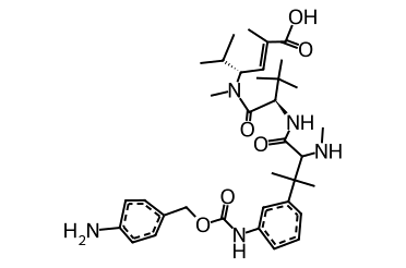 CNC(C(=O)N[C@@H](C(=O)N(C)[C@@H](/C=C(\C)C(=O)O)C(C)C)C(C)(C)C)C(C)(C)c1cccc(NC(=O)OCc2ccc(N)cc2)c1